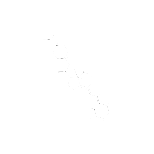 C[C@@H](CN1CCC(C(F)F)CC1)C1CCC2/C(=C/C=C3/CCC[C@H](O)C3)CCCC21C